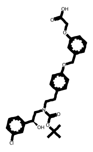 CC(C)(C)OC(=O)N(CCc1ccc(OCc2cccc(OCC(=O)O)c2)cc1)C[C@@H](O)c1cccc(Cl)c1